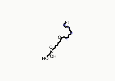 CC/C=C\C/C=C\C/C=C\C/C=C\CC1OC1CCCCCC(=O)OCC(O)CO